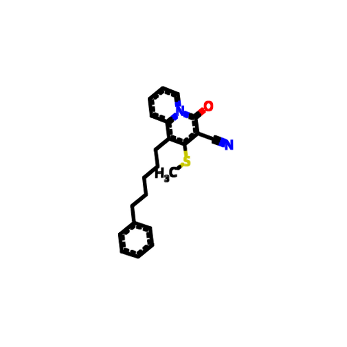 CSc1c(C#N)c(=O)n2ccccc2c1CCCCCc1ccccc1